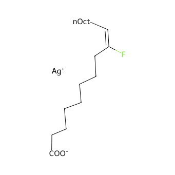 CCCCCCCC/C=C(/F)CCCCCCCC(=O)[O-].[Ag+]